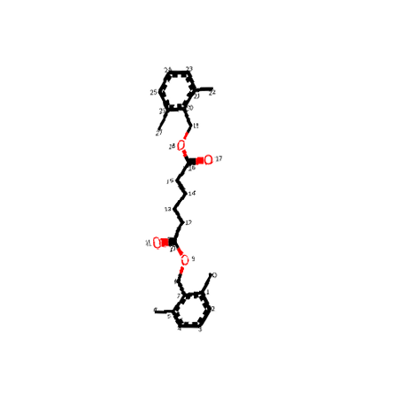 Cc1cccc(C)c1COC(=O)CCCCC(=O)OCc1c(C)cccc1C